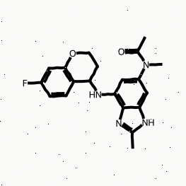 CC(=O)N(C)c1cc(NC2CCOc3cc(F)ccc32)c2nc(C)[nH]c2c1